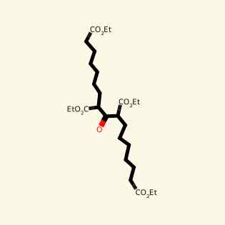 CCOC(=O)CCCCCCC(C(=O)OCC)C(=O)C(CCCCCCC(=O)OCC)C(=O)OCC